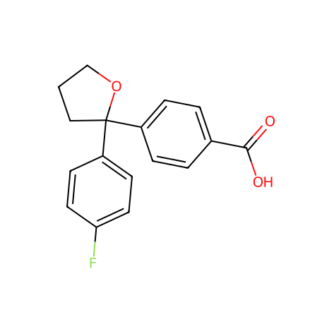 O=C(O)c1ccc(C2(c3ccc(F)cc3)CCCO2)cc1